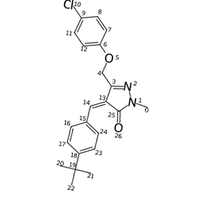 CN1N=C(COc2ccc(Cl)cc2)C(=Cc2ccc(C(C)(C)C)cc2)C1=O